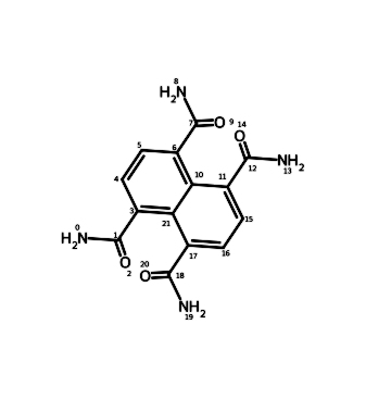 NC(=O)c1ccc(C(N)=O)c2c(C(N)=O)ccc(C(N)=O)c12